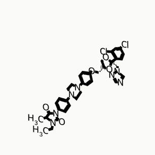 CCN1C(=O)N(c2ccc(N3CCN(c4ccc(OC[C@@H]5CO[C@@](Cn6cncn6)(c6ccc(Cl)cc6Cl)O5)cc4)CC3)cc2)C(=O)C1C